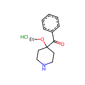 CCOC1(C(=O)c2ccccc2)CCNCC1.Cl